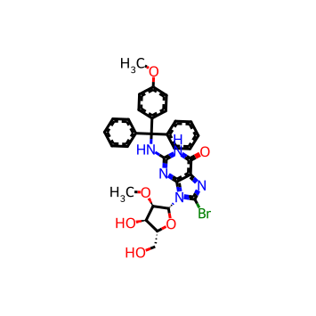 COc1ccc(C(Nc2nc3c(nc(Br)n3[C@@H]3O[C@H](CO)[C@@H](O)[C@H]3OC)c(=O)[nH]2)(c2ccccc2)c2ccccc2)cc1